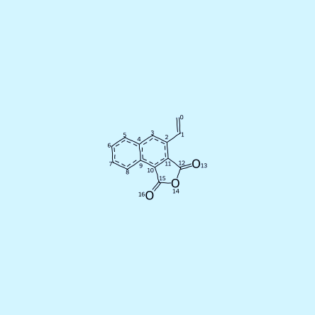 C=Cc1cc2ccccc2c2c1C(=O)OC2=O